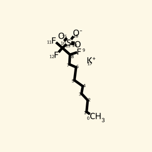 CCCCCCCCC(F)C(F)(F)S(=O)(=O)[O-].[K+]